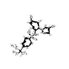 CC(C)(C)c1ccc(S(=O)(=O)Nc2ccc(Cl)cc2-n2cc(Cl)cn2)cc1